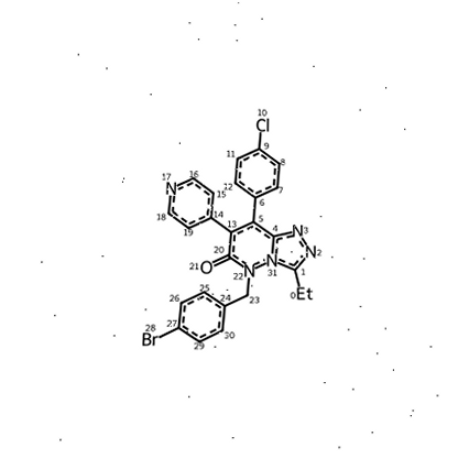 CCc1nnc2c(-c3ccc(Cl)cc3)c(-c3ccncc3)c(=O)n(Cc3ccc(Br)cc3)n12